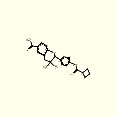 COC(=O)c1ccc2c(c1)CC(C)(C)C(c1ccc(NC(=O)C3CCC3)cc1)N2